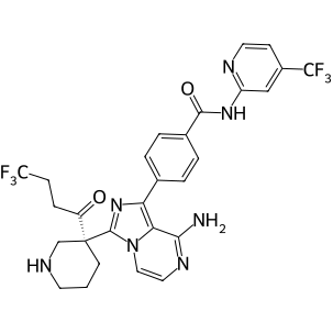 Nc1nccn2c([C@@]3(C(=O)CCC(F)(F)F)CCCNC3)nc(-c3ccc(C(=O)Nc4cc(C(F)(F)F)ccn4)cc3)c12